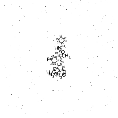 COc1cc(/C=C2/C(C)=C(CC(=O)NCc3ccccc3)c3cc(F)ccc32)cc(OC)c1OC